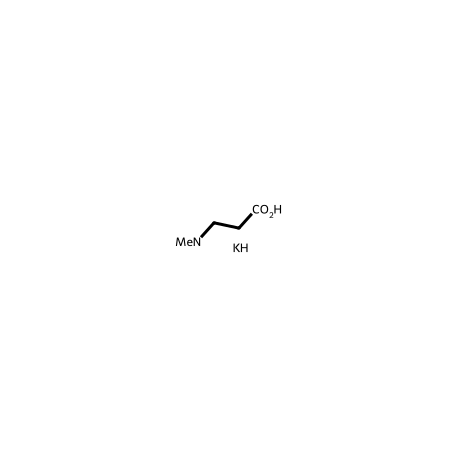 CNCCC(=O)O.[KH]